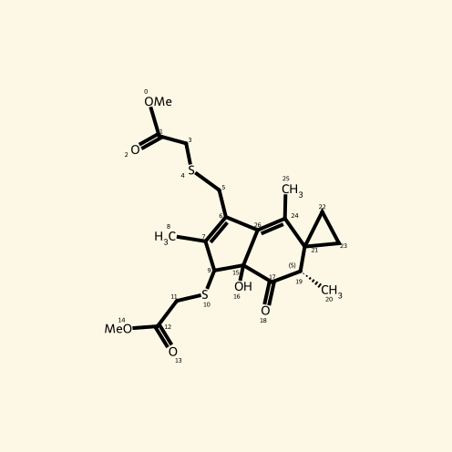 COC(=O)CSCC1=C(C)C(SCC(=O)OC)C2(O)C(=O)[C@@H](C)C3(CC3)C(C)=C12